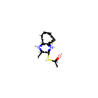 CC(=O)Sc1nc2ccccc2nc1C